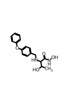 CC(O)C(NCc1ccc(Oc2ccccc2)cc1)C(=O)NO